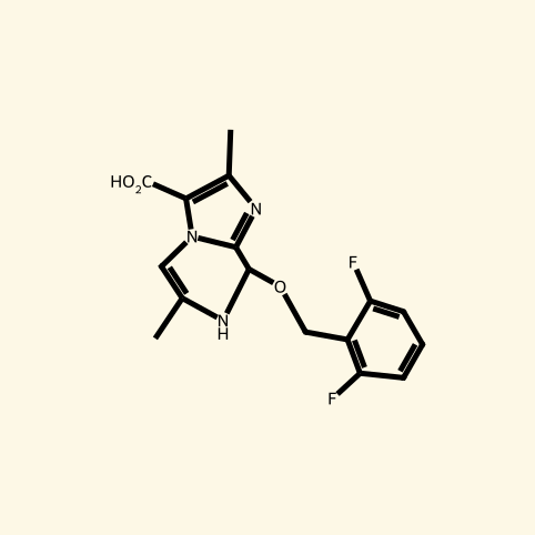 CC1=Cn2c(nc(C)c2C(=O)O)C(OCc2c(F)cccc2F)N1